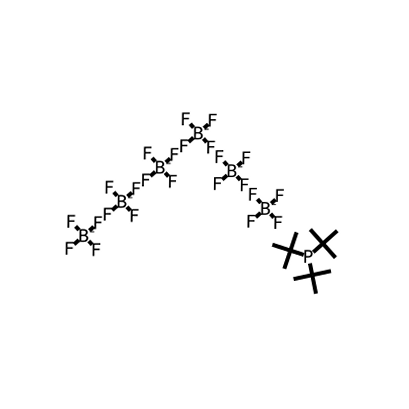 CC(C)(C)P(C(C)(C)C)C(C)(C)C.F[B-](F)(F)F.F[B-](F)(F)F.F[B-](F)(F)F.F[B-](F)(F)F.F[B-](F)(F)F.F[B-](F)(F)F